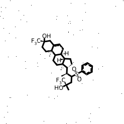 C[C@H](C(C[C@](C)(O)C(F)(F)F)S(=O)(=O)c1ccccc1)[C@H]1CC[C@H]2[C@@H]3CC=C4C[C@](O)(C(F)(F)F)CC[C@]4(C)C3CC[C@]12C